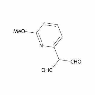 COc1cccc(C(C=O)C=O)n1